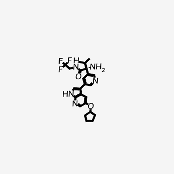 CC(C)[C@](N)(C(=O)NCC(F)(F)F)c1cncc(-c2c[nH]c3ncc(OC4CCCC4)cc23)c1